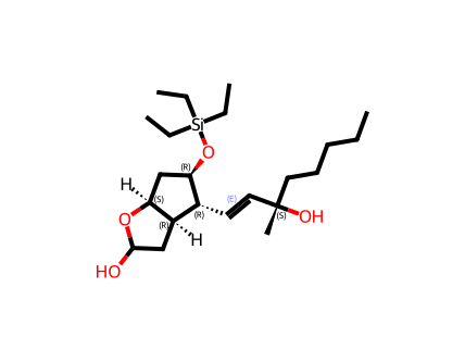 CCCCC[C@](C)(O)/C=C/[C@@H]1[C@H]2CC(O)O[C@H]2C[C@H]1O[Si](CC)(CC)CC